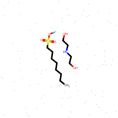 CCCCCCCCS(=O)(=O)OF.OCCNCCO